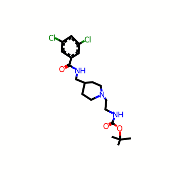 CC(C)(C)OC(=O)NCCN1CCC(CNC(=O)c2cc(Cl)cc(Cl)c2)CC1